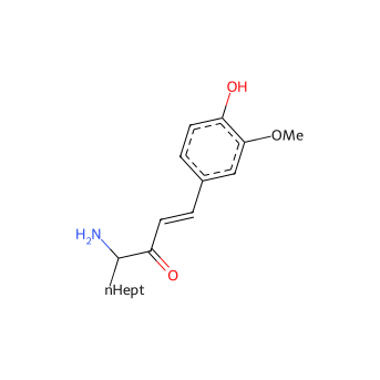 CCCCCCCC(N)C(=O)C=Cc1ccc(O)c(OC)c1